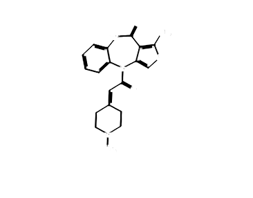 Cc1scc2c1C(=O)Nc1ccccc1N2C(=O)C=C1CCN(C)CC1